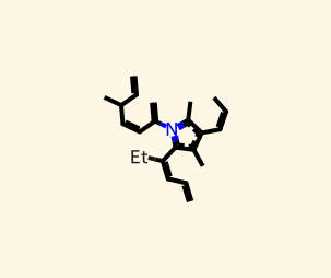 C=C/C=C(/CC)c1c(C)c(/C=C\C)c(C)n1C(=C)/C=C\C(C)C=C